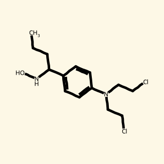 CCCC(NO)c1ccc(N(CCCl)CCCl)cc1